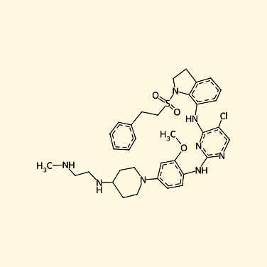 CNCCNC1CCN(c2ccc(Nc3ncc(Cl)c(Nc4cccc5c4N(S(=O)(=O)CCc4ccccc4)CC5)n3)c(OC)c2)CC1